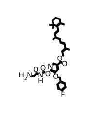 CC(C=CC1=C(C)CCCC1(C)C)=CC=CC(C)=CCOC(=O)c1cnc(OC(=O)NC(=O)CN)c(OCc2ccc(F)cc2)c1